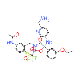 CCOc1cccc(C(Nc2ccc(CN)nc2)(OC(=O)C(F)(F)F)C(=O)NCc2cc(NC(C)=O)ccc2S(=O)(=O)CC)c1